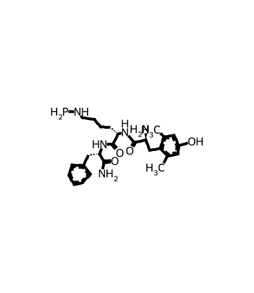 Cc1cc(O)cc(C)c1C[C@H](N)C(=O)N[C@@H](CCCCNP)C(=O)N[C@@H](Cc1ccccc1)C(N)=O